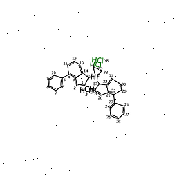 CC1=Cc2c(-c3ccccc3)cccc2[CH]1[Hf]1([CH]2C(C)=Cc3c(-c4ccccc4)cccc32)[CH2][CH2]1.Cl.Cl